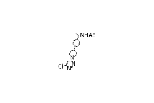 CC(=O)N[C@@H](C)c1ccc(C2CCN(c3cc(Cl)ncn3)CC2)cc1